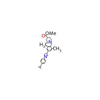 COC(=O)C1CCN(Cc2c(C)cc(C3CN(c4ccc(C5CC5)cc4)C3)cc2C)CC1